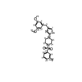 COc1cc(Cc2csc(N3CCN(S(=O)(=O)c4cccc(F)c4)CC3)n2)cc(OC)c1